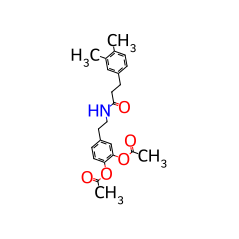 CC(=O)Oc1ccc(CCNC(=O)CCc2ccc(C)c(C)c2)cc1OC(C)=O